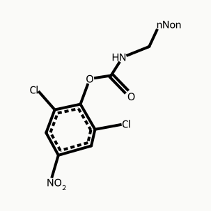 CCCCCCCCCCNC(=O)Oc1c(Cl)cc([N+](=O)[O-])cc1Cl